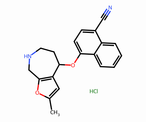 Cc1cc2c(o1)CNCCC2Oc1ccc(C#N)c2ccccc12.Cl